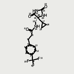 O=C(CCc1ccc(C(F)(F)F)cc1)NC[C@@]1(C2CC2)NC(=O)NC1=O